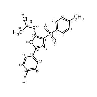 Cc1ccc(S(=O)(=O)c2nc(-c3ccc(F)cc3)oc2SC(C)C)cc1